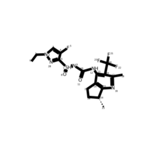 CCn1cc(F)c(/[SH](=O)=N/C(=O)Nc2c3c(nc(C)c2C(F)(F)F)[C@H](C)CC3)n1